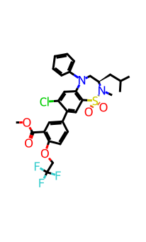 COC(=O)c1cc(-c2cc3c(cc2Cl)N(c2ccccc2)C[C@@H](CC(C)C)N(C)S3(=O)=O)ccc1OCC(F)(F)F